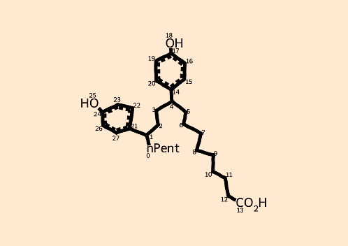 CCCCCC(CCC(CCCCCCCCC(=O)O)c1ccc(O)cc1)c1ccc(O)cc1